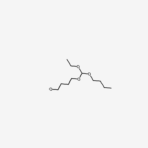 CCCCOC(OCC)OCCCC[O]